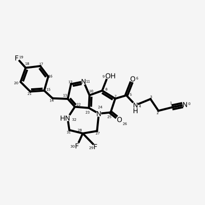 N#CCCNC(=O)c1c(O)c2ncc(Cc3ccc(F)cc3)c3c2n(c1=O)CC(F)(F)CN3